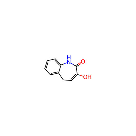 O=C1Nc2ccccc2CC=C1O